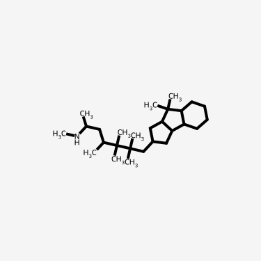 CNC(C)CC(C)C(C)(C)C(C)(C)CC1CC2C3CCCCC3C(C)(C)C2C1